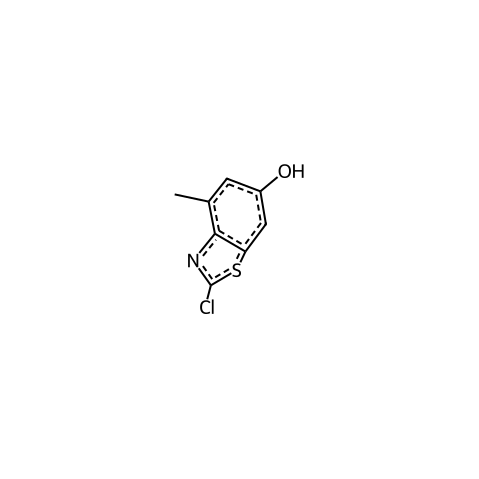 Cc1cc(O)cc2sc(Cl)nc12